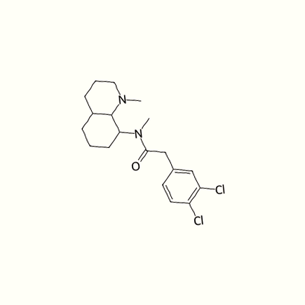 CN1CCCC2CCCC(N(C)C(=O)Cc3ccc(Cl)c(Cl)c3)C21